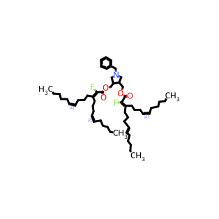 CCCCCC=CCCCC(CCC/C=C\CCCCC)=C(F)C(=O)OCC1CN(Cc2ccccc2)CC1COC(=O)C(F)=C(CCC/C=C\CCCCC)CCC/C=C\CCCCC